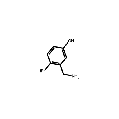 CC(C)c1ccc(O)cc1CN